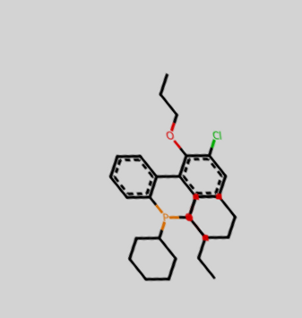 CCCOc1ccc(Cl)c(OCCC)c1-c1ccccc1P(C1CCCCC1)C1CCCCC1